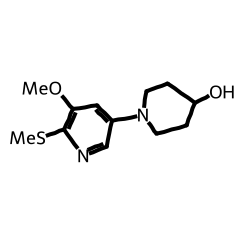 COc1cc(N2CCC(O)CC2)cnc1SC